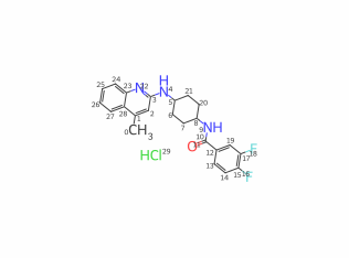 Cc1cc(NC2CCC(NC(=O)c3ccc(F)c(F)c3)CC2)nc2ccccc12.Cl